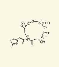 Cc1nc(C=C(F)[C@@H]2CC3OC3(Cl)COC[C@H](C)[C@H](O)[C@@H](C)C(=O)C(C)(C)[C@@H](O)CC(=O)N2)cs1